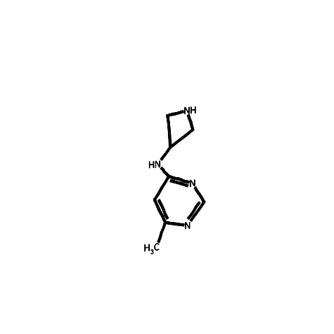 Cc1cc(NC2CNC2)ncn1